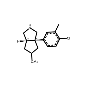 COC1C[C@@H]2CNC[C@]2(c2ccc(Cl)c(C)c2)C1